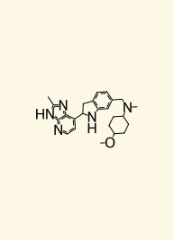 COC1CCC(N(C)Cc2ccc3c(c2)NC(c2ccnc4[nH]c(C)nc24)C3)CC1